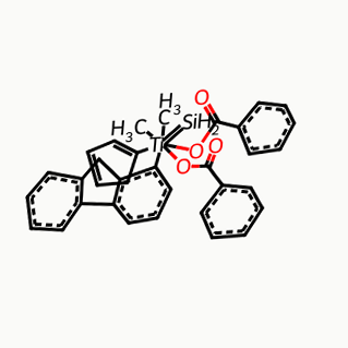 [CH3][Ti]([CH3])(=[SiH2])([O]C(=O)c1ccccc1)([O]C(=O)c1ccccc1)([C]1=CC=CC1)[c]1cccc2c1Cc1ccccc1-2